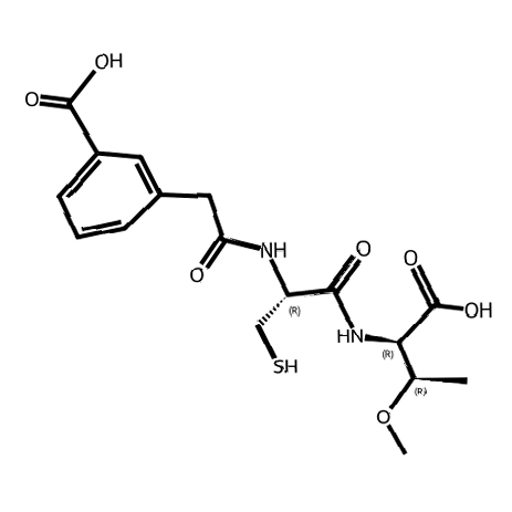 CO[C@H](C)[C@@H](NC(=O)[C@H](CS)NC(=O)Cc1cccc(C(=O)O)c1)C(=O)O